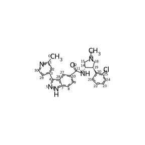 Cc1cc(-c2n[nH]c3ccc(C(=O)N[C@@H]4CN(C)C[C@H]4c4ccccc4Cl)cc23)ccn1